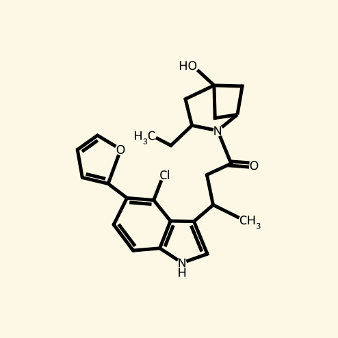 CCC1CC2(O)CC(C2)N1C(=O)CC(C)c1c[nH]c2ccc(-c3ccco3)c(Cl)c12